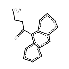 O=C(O)CCC(=O)c1c2ccccc2cc2ccccc12